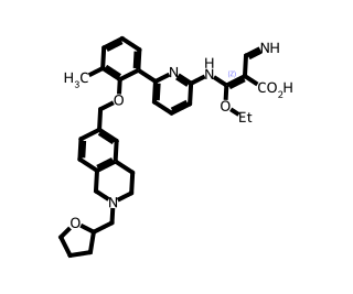 CCO/C(Nc1cccc(-c2cccc(C)c2OCc2ccc3c(c2)CCN(CC2CCCO2)C3)n1)=C(/C=N)C(=O)O